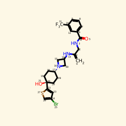 C=C(CNC(=O)c1cccc(C(F)(F)F)c1)NC1CN([C@H]2CC[C@@](O)(c3cc(Br)cs3)CC2)C1